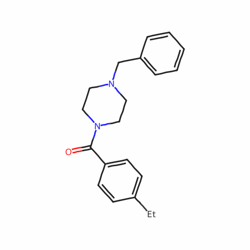 CCc1ccc(C(=O)N2CCN(Cc3ccccc3)CC2)cc1